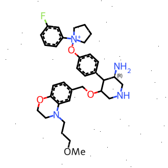 COCCCN1CCOc2ccc(COC3CNC[C@H](N)C3c3ccc(O[N+]4(c5cccc(F)c5)CCCC4)cc3)cc21